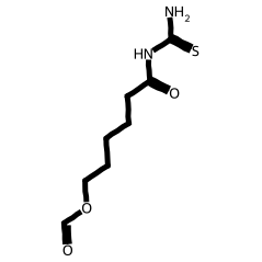 NC(=S)NC(=O)CCCCCOC=O